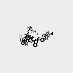 Cn1ccnc1CCOc1nc(N2C[C@H]3CC[C@@H](C2)N3C(=O)OC(C)(C)C)c2cnc(-c3cc(Oc4cccc(S(=O)(=O)n5cnc(C6CC6)n5)c4)cc4ccccc34)c(F)c2n1